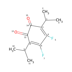 CC(C)C1=C(F)C(F)=C(C(C)C)C(=O)C1=O